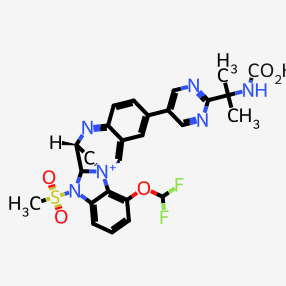 CC(C)(NC(=O)O)c1ncc(-c2ccc3c(c2)=C[N@@+]24C[C@@H](N=3)C2N(S(C)(=O)=O)c2cccc(OC(F)F)c24)cn1